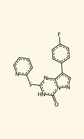 O=c1[nH]c(Sc2ccccn2)nc2c(-c3ccc(F)cc3)cnn12